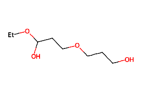 CCOC(O)CCOCCCO